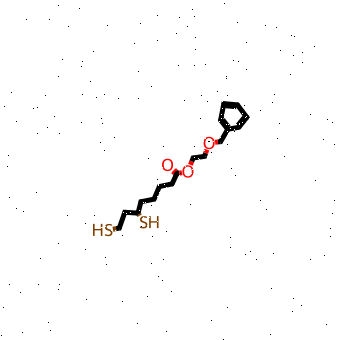 O=C(CCCCC(S)CCS)OCCOCc1ccccc1